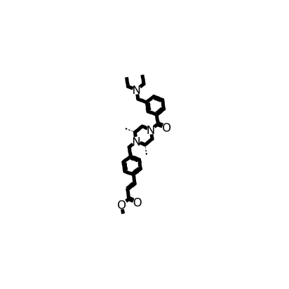 CCN(CC)Cc1cccc(C(=O)N2C[C@@H](C)N(Cc3ccc(/C=C/C(=O)OC)cc3)[C@@H](C)C2)c1